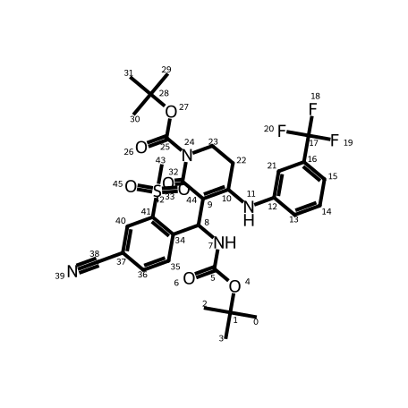 CC(C)(C)OC(=O)NC(C1=C(Nc2cccc(C(F)(F)F)c2)CCN(C(=O)OC(C)(C)C)C1=O)c1ccc(C#N)cc1S(C)(=O)=O